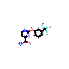 NC(=O)c1ccnc(Oc2cccc(C(F)(F)F)c2)n1